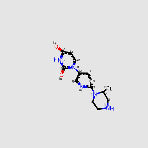 CCC1CNCCN1c1ccc(-n2ccc(=O)[nH]c2=O)cn1